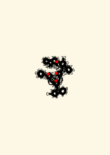 Cc1ccc2c3ccccc3n(-c3cc4c5c(c3)Oc3cc(-n6c7ccccc7c7cc(C)c8c9ccc%10c(c9sc8c76)C(C)(C)c6ccccc6-%10)ccc3B5c3ccc(-c5ccccc5)cc3O4)c2c1